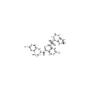 O=C(NC(Cc1ccc(Cl)cc1)C(=O)O)c1ccc(I)cc1NS(=O)(=O)C1=CC=CN2SNC=C12